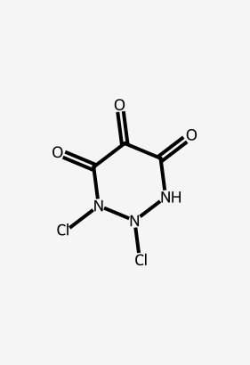 O=c1[nH]n(Cl)n(Cl)c(=O)c1=O